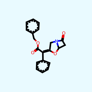 O=C(OCc1ccccc1)/C(=C1\CN2C(=O)CC2O1)c1ccccc1